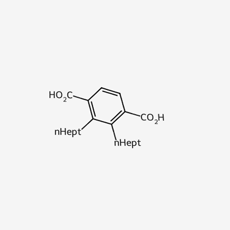 CCCCCCCc1c(C(=O)O)ccc(C(=O)O)c1CCCCCCC